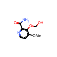 COc1ccnc(C(N)=O)c1OCO